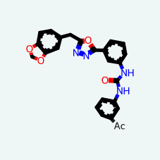 CC(=O)c1cccc(NC(=O)Nc2cccc(-c3nnc(Cc4ccc5c(c4)OCO5)o3)c2)c1